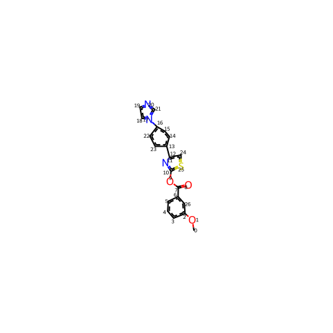 COc1cccc(C(=O)Oc2nc(-c3ccc(-n4ccnc4)cc3)cs2)c1